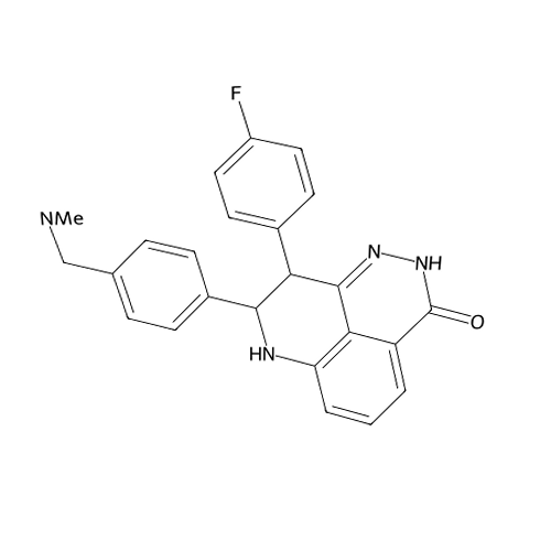 CNCc1ccc(C2Nc3cccc4c(=O)[nH]nc(c34)C2c2ccc(F)cc2)cc1